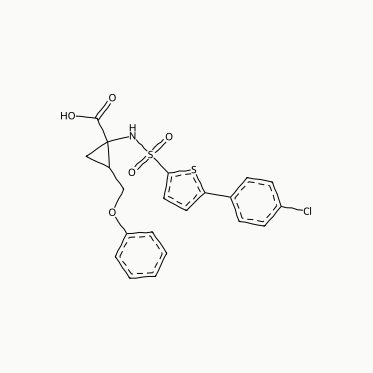 O=C(O)C1(NS(=O)(=O)c2ccc(-c3ccc(Cl)cc3)s2)CC1COc1ccccc1